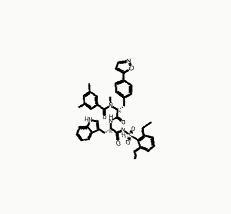 CCc1cccc(CC)c1S(=O)(=O)NC(=O)[C@H](Cc1c[nH]c2ccccc12)NC(=O)[C@@H](Cc1ccc(-c2ccno2)cc1)N(C)C(=O)c1cc(C)cc(C)c1